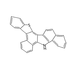 c1ccc2c(c1)ccc1c2[nH]c2c3ccccc3c3c4ccccc4sc3c12